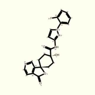 O=C1O[C@]2(CC[C@](O)(C(=O)Nc3ccn(-c4ccccc4F)n3)CC2)c2cnccc21